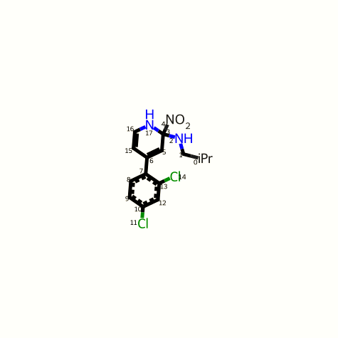 CC(C)CNC1([N+](=O)[O-])C=C(c2ccc(Cl)cc2Cl)C=CN1